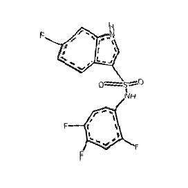 O=S(=O)(Nc1cc(F)c(F)cc1F)c1c[nH]c2cc(F)ccc12